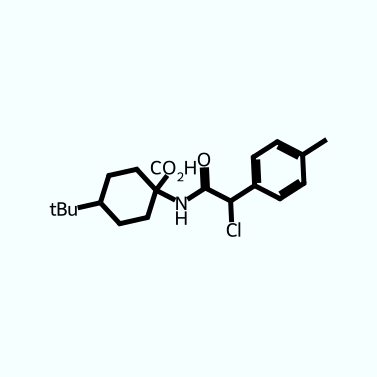 Cc1ccc(C(Cl)C(=O)NC2(C(=O)O)CCC(C(C)(C)C)CC2)cc1